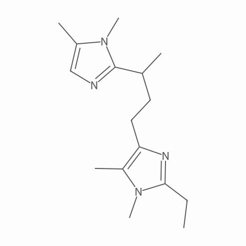 CCc1nc(CCC(C)c2ncc(C)n2C)c(C)n1C